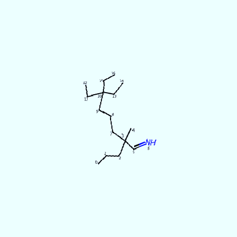 CCCC(C)(C=N)CCCC(CC)(CC)CC